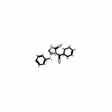 O=C1OC[C@@H](Cc2ccccc2)N1C(=O)C1CC=CCC1